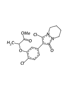 COC(=O)C(C)Oc1cc(-c2c(Cl)n3n(c2=O)CCCC3)ccc1Cl